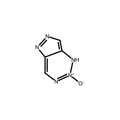 [O-][n+]1ncc2nncc-2[nH]1